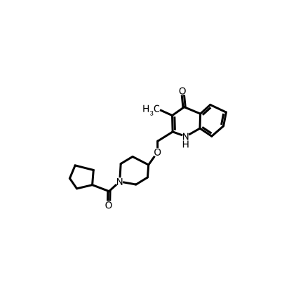 Cc1c(COC2CCN(C(=O)C3CCCC3)CC2)[nH]c2ccccc2c1=O